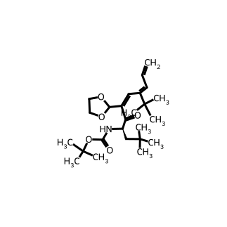 C=C/C=C(\C=C(/C(=O)[C@@H](CC(C)(C)C)NC(=O)OC(C)(C)C)C1OCCO1)C(C)(C)C